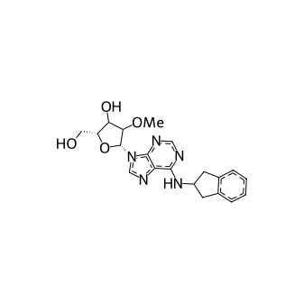 COC1C(O)[C@@H](CO)O[C@H]1n1cnc2c(NC3Cc4ccccc4C3)ncnc21